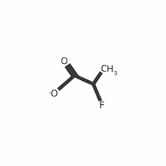 CC(F)C([O])=O